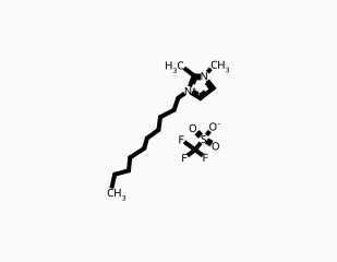 CCCCCCCCCC[n+]1ccn(C)c1C.O=S(=O)([O-])C(F)(F)F